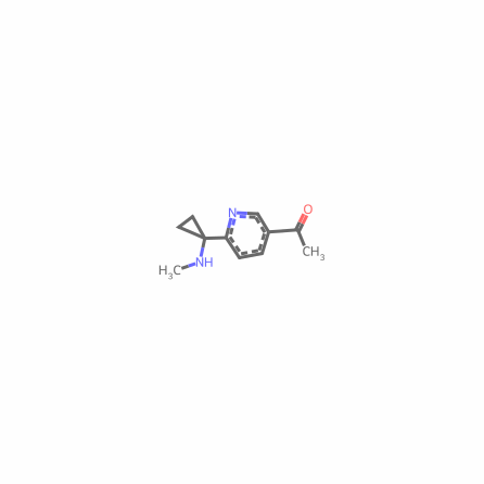 CNC1(c2ccc(C(C)=O)cn2)CC1